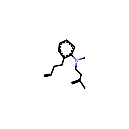 C=CCCc1ccccc1N(C)CCC(=C)C